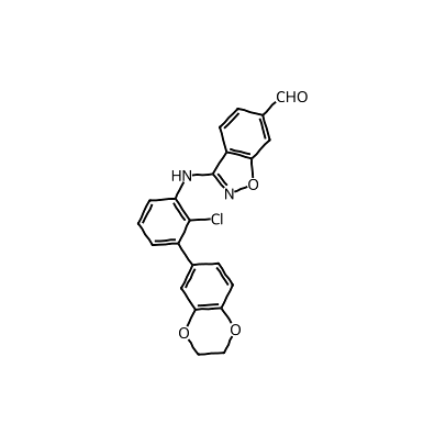 O=Cc1ccc2c(Nc3cccc(-c4ccc5c(c4)OCCO5)c3Cl)noc2c1